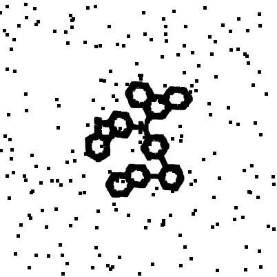 c1ccc(-c2ccc3ccccc3c2)c(-c2ccc(N(c3ccc4sc5ccccc5c4c3)c3cc4ccccc4c4ccccc34)cc2)c1